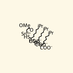 CC(C)CCCCCC(S)C(=O)[O-].CC(C)CCCCCC(S)C(=O)[O-].CC(C)CCCCCC(S)C(=O)[O-].COC(=O)C[CH2][Sn+3]